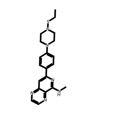 CCSN1CCN(c2ccc(-c3cc4nccnc4c(NC)n3)cc2)CC1